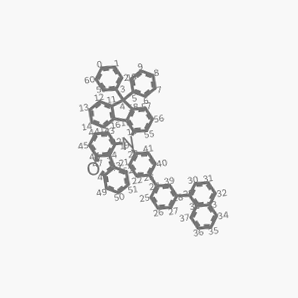 c1ccc(C2(c3ccccc3)c3ccccc3-c3c(N(c4ccc(-c5cccc(-c6cccc7ccccc67)c5)cc4)c4cccc5oc6ccccc6c45)cccc32)cc1